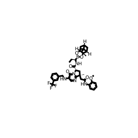 CC[C@H](NC(=O)[C@@H]1C[C@@](C)(CC(=O)Nc2ccccc2OC)c2ncc(NCc3cccc(C(F)(F)F)c3)c(=O)n21)B1O[C@@H]2C[C@@H]3C[C@@H](C3(C)C)[C@]2(C)O1